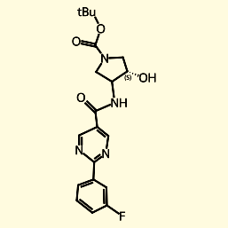 CC(C)(C)OC(=O)N1CC(NC(=O)c2cnc(-c3cccc(F)c3)nc2)[C@@H](O)C1